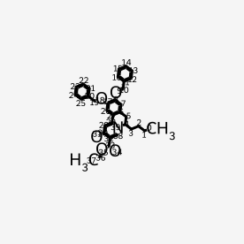 CCCCC1Cc2cc(OCc3ccccc3)c(OCc3ccccc3)cc2-c2cc(=O)c(C(=O)OCC)cn21